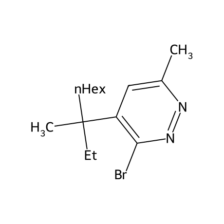 CCCCCCC(C)(CC)c1cc(C)nnc1Br